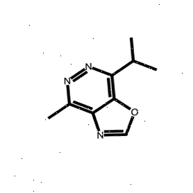 Cc1nnc(C(C)C)c2ocnc12